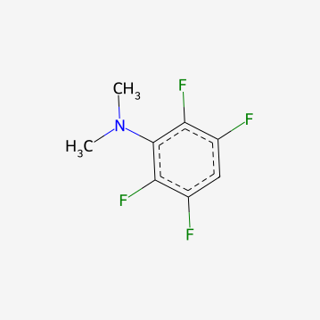 CN(C)c1c(F)c(F)cc(F)c1F